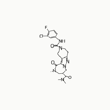 CN(C)C(=O)C1CN(C)C(=O)c2c3c(nn2C1)CCN(C(=O)Nc1ccc(F)c(Cl)c1)C3